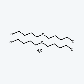 ClCCCCOCCCCCl.ClCCCCOCCCCCl.O